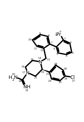 CC(C)c1ccccc1-c1ccccc1CN1CCN(C(=N)N)C[C@@H]1c1ccc(Cl)cc1